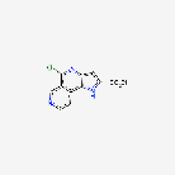 CCOC(=O)c1cc2nc(Cl)c3cnccc3c2[nH]1